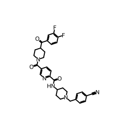 N#Cc1ccc(CN2CCC(NC(=O)c3ccc(C(=O)N4CCC(C(=O)c5ccc(F)c(F)c5)CC4)cn3)CC2)cc1